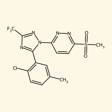 Cc1ccc(Cl)c(-c2nc(C(F)(F)F)nn2-c2ccc(S(C)(=O)=O)nn2)c1